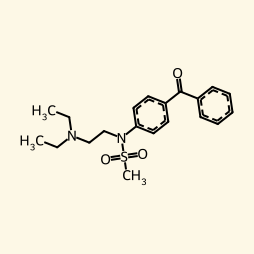 CCN(CC)CCN(c1ccc(C(=O)c2ccccc2)cc1)S(C)(=O)=O